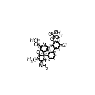 CN1C(=O)C(c2cccc(-c3cc(Cl)cc(OS(C)(=O)=O)c3)c2)(c2ccnc(Cl)c2)N=C1N.Cl